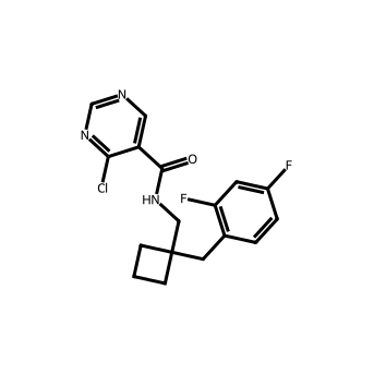 O=C(NCC1(Cc2ccc(F)cc2F)CCC1)c1cncnc1Cl